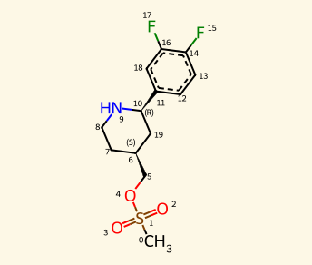 CS(=O)(=O)OC[C@H]1CCN[C@@H](c2ccc(F)c(F)c2)C1